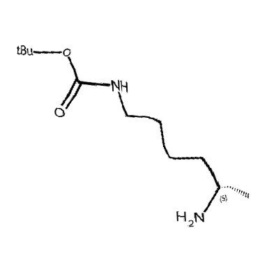 C[C@H](N)CCCCNC(=O)OC(C)(C)C